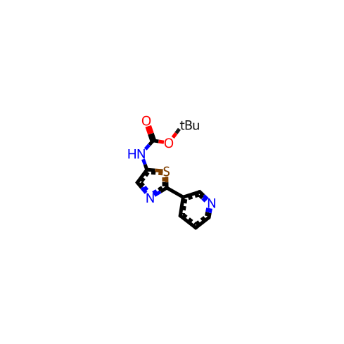 CC(C)(C)OC(=O)Nc1cnc(-c2cccnc2)s1